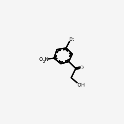 CCc1cc(C(=O)CO)cc([N+](=O)[O-])c1